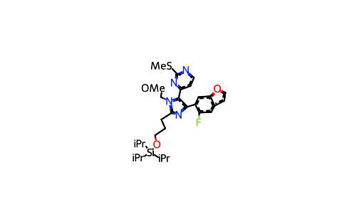 COCn1c(CCCO[Si](C(C)C)(C(C)C)C(C)C)nc(-c2cc3occc3cc2F)c1-c1ccnc(SC)n1